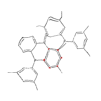 Cc1cc(C)cc(P(c2cc(C)cc(C)c2)c2ccccc2C(=O)c2ccccc2P(c2cc(C)cc(C)c2)c2cc(C)cc(C)c2)c1